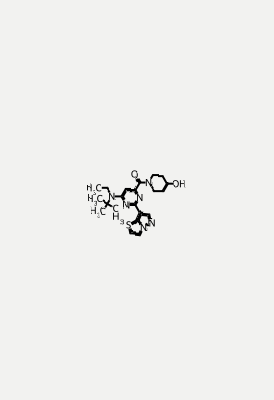 CCN(c1cc(C(=O)N2CCC(O)CC2)nc(-c2cnn3ccsc23)n1)C(C)(C)C